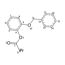 CC(C)C(=O)Oc1ccccc1OCc1ccccc1